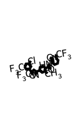 Cc1cc(C2=NOC(c3cc(Cl)cc(C(F)(F)F)c3)(C(F)(F)F)C2)ccc1C(=O)NN1CCCN(CC(F)(F)F)C1=O